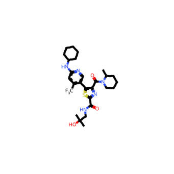 CC1CCCCN1C(=O)c1nc(C(=O)NCC(C)(C)O)sc1-c1cnc(NC2CCCCC2)cc1C(F)(F)F